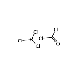 ClB(Cl)Cl.O=C(Cl)Cl